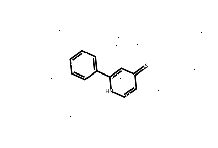 S=c1cc[nH]c(-c2ccccc2)c1